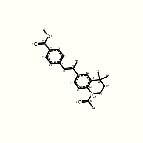 COC(=O)c1ccc(/C=C(\C)c2ccc3c(c2)C(C)(C)CCN3C(C)=O)cc1